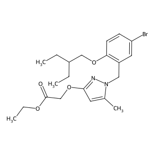 CCOC(=O)COc1cc(C)n(Cc2cc(Br)ccc2OCC(CC)CC)n1